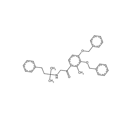 Cc1c(C(=O)CNC(C)(C)CCc2ccccc2)ccc(OCc2ccccc2)c1OCc1ccccc1